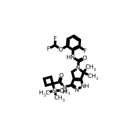 CC1(C)c2[nH]nc(NC(=O)C3([Si](C)(C)C)CCC3)c2CN1C(=O)Nc1c(F)cccc1OC(F)F